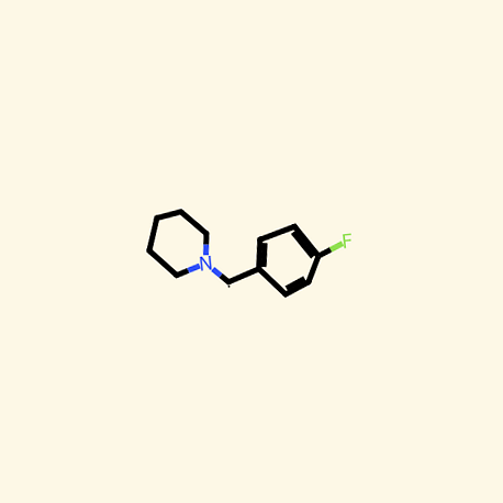 Fc1ccc([CH]N2CCCCC2)cc1